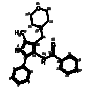 Cc1[nH]c(-c2ccccc2)c(NC(=O)c2ccncc2)c1CN1CCOCC1